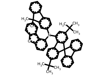 CC(C)(C)c1ccc2c(c1)C1(c3ccccc3-c3ccccc31)c1cc(C(C)(C)C)cc(N(c3ccc4c(c3)C(C)(C)c3ccccc3-4)c3cccc4oc5ccccc5c34)c1-2